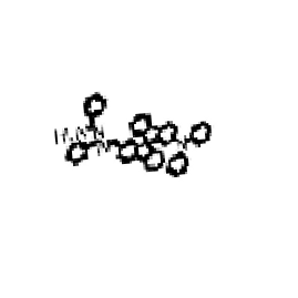 N/C(=N\C(=N/Cc1ccc2c(c1)C1(C3=C2C=CCC3)c2ccccc2-c2ccc(N(c3ccccc3)c3ccccc3)cc21)c1ccccc1)c1ccccc1